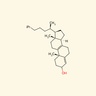 CC(C)CCC[C@@H](C)[C@H]1CC[C@H]2C3=C(CC[C@]12C)[C@@]1(C)CCC(O)C=C1CC3